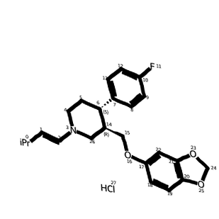 CC(C)C=CN1CC[C@H](c2ccc(F)cc2)[C@@H](COc2ccc3c(c2)OCO3)C1.Cl